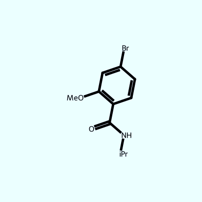 COc1cc(Br)ccc1C(=O)NC(C)C